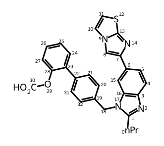 CCCc1nc2ccc(-c3cn4ccsc4n3)cc2n1Cc1ccc(-c2ccccc2OC(=O)O)cc1